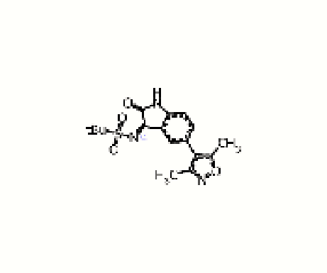 Cc1noc(C)c1-c1ccc2c(c1)/C(=N/S(=O)(=O)C(C)(C)C)C(=O)N2